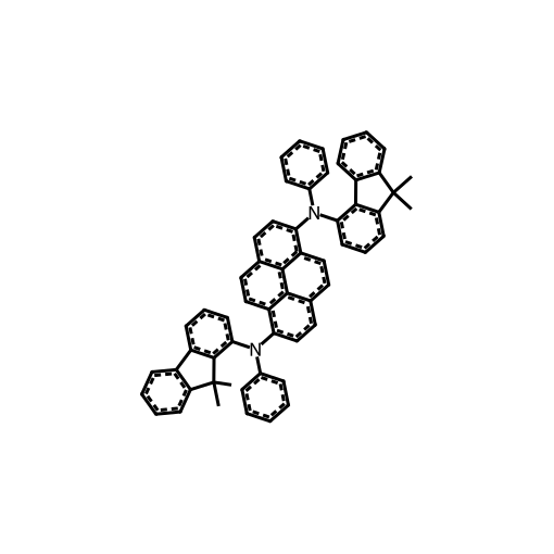 CC1(C)c2ccccc2-c2c(N(c3ccccc3)c3ccc4ccc5c(N(c6ccccc6)c6cccc7c6C(C)(C)c6ccccc6-7)ccc6ccc3c4c65)cccc21